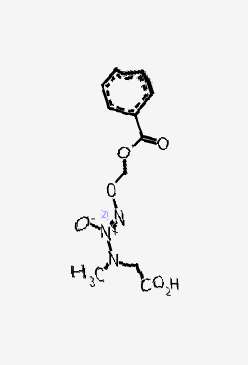 CN(CC(=O)O)/[N+]([O-])=N/OCOC(=O)c1ccccc1